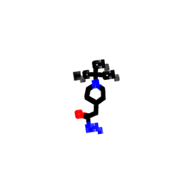 CC(C)(C)N1CCC(CC(N)=O)CC1